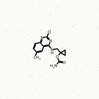 Cc1ccc2nc(Cl)nc(NCC3(OC(N)=O)CC3)c2c1